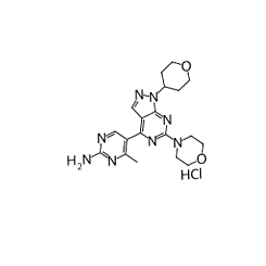 Cc1nc(N)ncc1-c1nc(N2CCOCC2)nc2c1cnn2C1CCOCC1.Cl